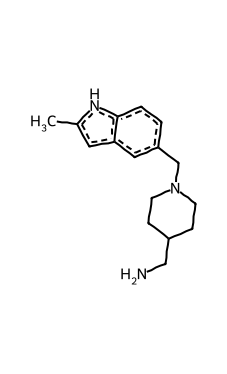 Cc1cc2cc(CN3CCC(CN)CC3)ccc2[nH]1